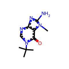 Cn1c(N)nc2ncn(C(C)(C)C)c(=O)c21